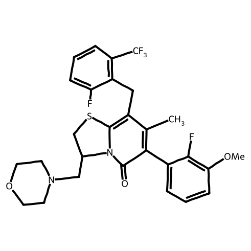 COc1cccc(-c2c(C)c(Cc3c(F)cccc3C(F)(F)F)c3n(c2=O)C(CN2CCOCC2)CS3)c1F